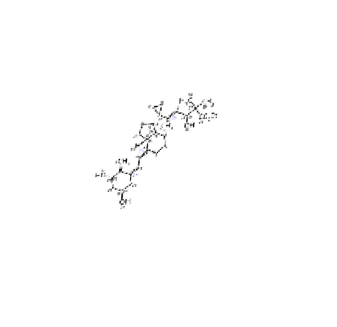 C=C1/C(=C\C=C2/CCC[C@]3(C)[C@@H](C4(/C=C/[C@H](O)C(C)(C)C(=O)OCC)CC4)CC[C@@H]23)C[C@@H](O)C[C@@H]1O